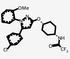 COc1ccccc1-n1nc(O[C@H]2CC[C@@H](NC(=O)C(F)(F)F)CC2)cc1-c1ccc(Cl)cc1